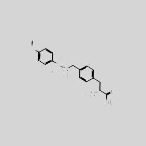 COc1ccc(S(=O)(=O)NCc2ccc(C[C@H](N)C(=O)O)cc2)cc1